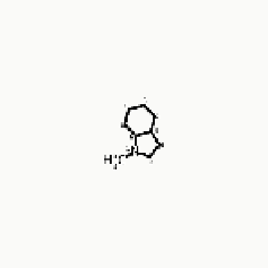 CN1C[CH]C2CCCCC21